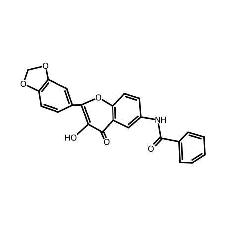 O=C(Nc1ccc2oc(-c3ccc4c(c3)OCO4)c(O)c(=O)c2c1)c1ccccc1